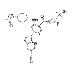 CC(=O)N[C@H]1CC[C@@H](Nc2cc(-c3ccc4cc(C#N)cnn34)ncc2C(=O)NC[C@@H](F)C(C)(C)O)CC1